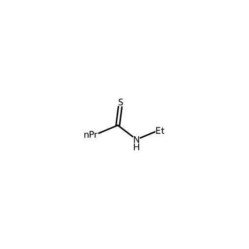 CCCC(=S)NCC